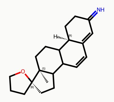 C[C@]12CCC3C(C=CC4=CC(=N)CC[C@@H]43)C1CC[C@@]21CCCO1